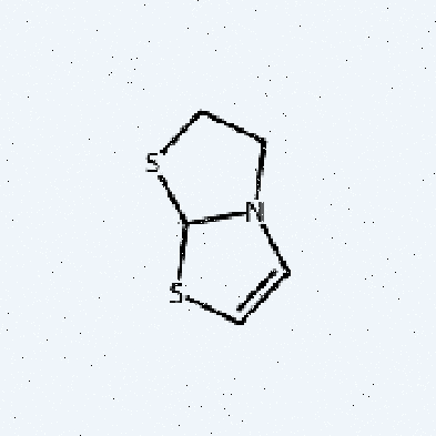 C1=CN2CCS[C]2S1